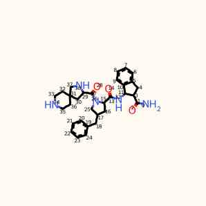 NC(=O)C1Cc2ccccc2C1NC(=O)C1CC(Cc2ccccc2)CN1C(=O)C1CC2(CCNCC2)CN1